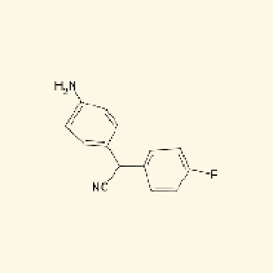 N#CC(c1ccc(N)cc1)c1ccc(F)cc1